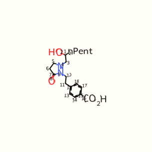 CCCCCC(O)CN1CCC(=O)N1CCc1ccc(C(=O)O)cc1